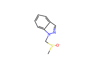 C[S+]([O-])Cn1ncc2ccccc21